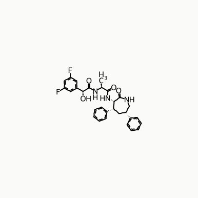 C[C@H](NC(=O)[C@@H](O)c1cc(F)cc(F)c1)C(=O)N[C@@H]1C(=O)NC[C@H](c2ccccc2)C[C@@H]1c1ccccc1